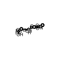 O=S(=O)(c1cnc2ccccc2c1)N1CCC2(CC1)CC(NCC(O)COc1cccc(S(=O)(=O)C(F)(F)CO)c1)CO2